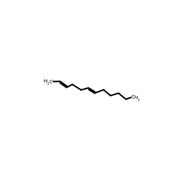 [CH2]C=CCCC=CCCCCC